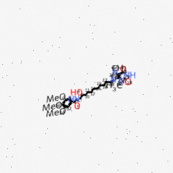 COc1cc(C(=O)NCC(O)CCCCCCCCCN2CN(C)c3c2n(C)c(=O)[nH]c3=O)cc(OC)c1OC